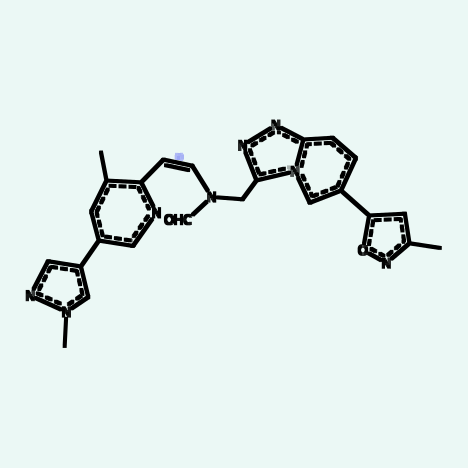 Cc1cc(-c2ccc3nnc(CN(C=O)/C=C\c4ncc(-c5cnn(C)c5)cc4C)n3c2)on1